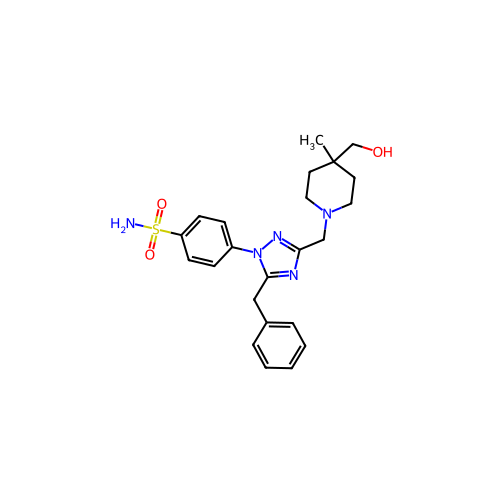 CC1(CO)CCN(Cc2nc(Cc3ccccc3)n(-c3ccc(S(N)(=O)=O)cc3)n2)CC1